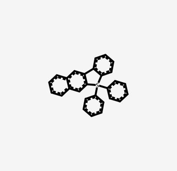 c1ccc(S2(c3ccccc3)c3ccccc3-c3cc4ccccc4cc32)cc1